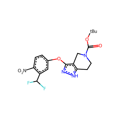 CC(C)(C)OC(=O)N1CCc2[nH]nc(Oc3ccc([N+](=O)[O-])c(C(F)F)c3)c2C1